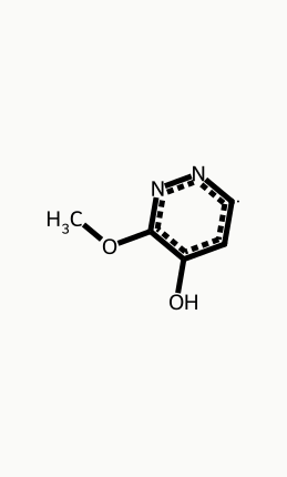 COc1nn[c]cc1O